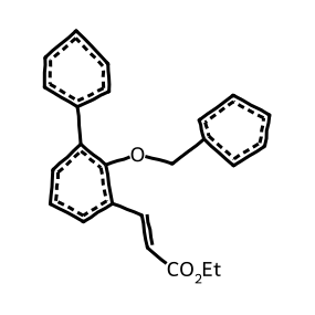 CCOC(=O)/C=C/c1cccc(-c2ccccc2)c1OCc1ccccc1